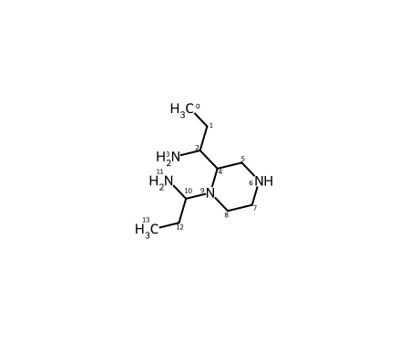 CCC(N)C1CNCCN1C(N)CC